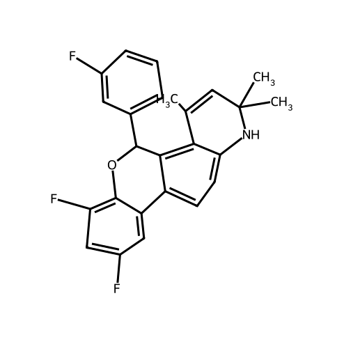 CC1=CC(C)(C)Nc2ccc3c(c21)C(c1cccc(F)c1)Oc1c(F)cc(F)cc1-3